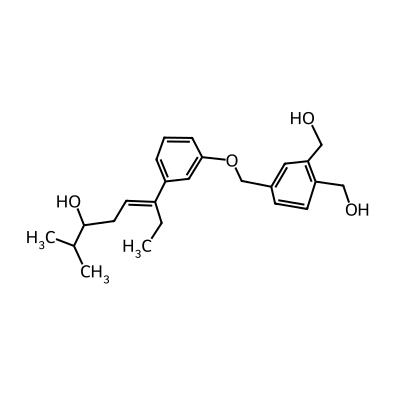 CC/C(=C\CC(O)C(C)C)c1cccc(OCc2ccc(CO)c(CO)c2)c1